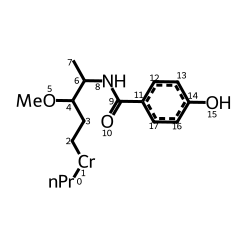 CC[CH2][Cr][CH2]CC(OC)C(C)NC(=O)c1ccc(O)cc1